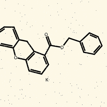 O=C(OCc1ccccc1)c1cccc2c1Cc1ccccc1O2.[K]